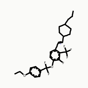 CCCC1CCC(/C=C/c2ccc(OC(F)(F)c3ccc(OCC)cc3)c(F)c2C(F)(F)F)CC1